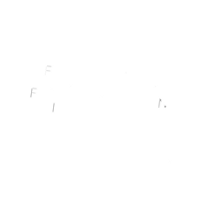 Cc1cc(C)cc(C2=Nc3cccc4cc(CCC(F)(F)F)cc2c34)c1